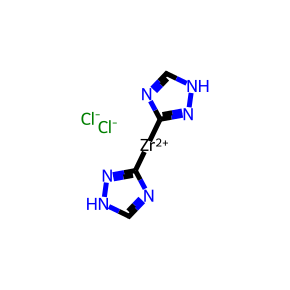 [Cl-].[Cl-].c1n[c]([Zr+2][c]2nc[nH]n2)n[nH]1